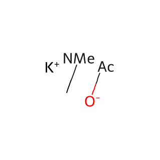 CC(=O)[O-].CNC.[K+]